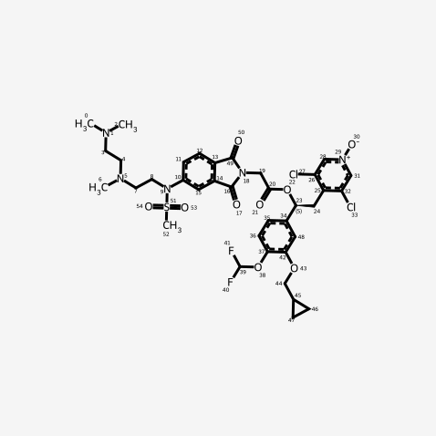 CN(C)CCN(C)CCN(c1ccc2c(c1)C(=O)N(CC(=O)O[C@@H](Cc1c(Cl)c[n+]([O-])cc1Cl)c1ccc(OC(F)F)c(OCC3CC3)c1)C2=O)S(C)(=O)=O